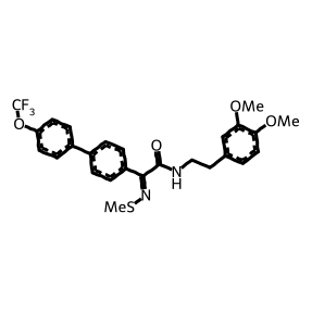 COc1ccc(CCNC(=O)C(=NSC)c2ccc(-c3ccc(OC(F)(F)F)cc3)cc2)cc1OC